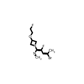 C=N/C(=C(F)\C=C(/C)Br)N1CC(OCCF)C1